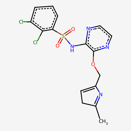 CC1=NC(COc2nccnc2NS(=O)(=O)c2cccc(Cl)c2Cl)=CC1